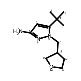 CC(C)(C)c1cc(N)nn1CC1CCOC1